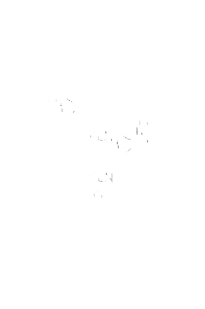 COc1ccc([C@H]2CC[C@H](CN(c3cccc(-c4coc(C5CC5)n4)c3)C(=O)[C@H]3CC[C@H](NC(=O)CO)CC3)CC2)cc1C